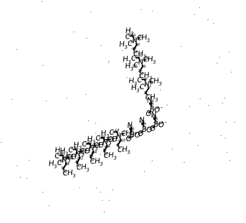 CCC[N+](C)(C)CC.CCC[N+](C)(C)CC.CCC[N+](C)(C)CC.CCC[N+](C)(C)CC.CCC[N+](C)(C)CC.CCC[N+](C)(C)CC.CCC[N+](C)(C)CC.CCC[N+](C)(C)CC.N#CB([O-])[O-].N#CB([O-])[O-].N#CB([O-])[O-].N#CB([O-])[O-]